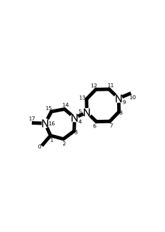 CC1CCN(N2CCCN(C)CCC2)CCN1C